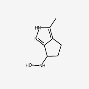 Cc1[nH]nc2c1CCC2NO